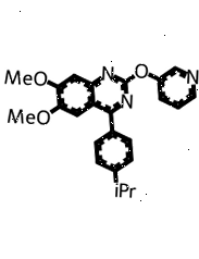 COc1cc2nc(Oc3cccnc3)nc(-c3ccc(C(C)C)cc3)c2cc1OC